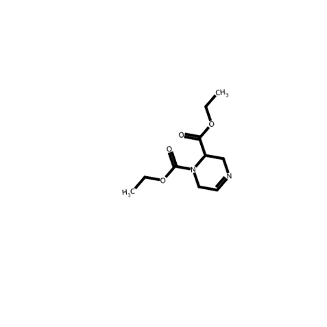 CCOC(=O)C1CN=CCN1C(=O)OCC